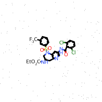 CCOC(=O)N[C@H]1Cc2ncc(NC(=O)c3c(Cl)cccc3Cl)cc2N(S(=O)(=O)c2cccc(C(F)(F)F)c2)C1